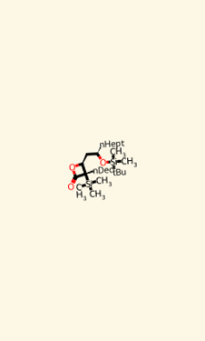 CCCCCCCCCC[C@@]1([Si](C)(C)C)C(=O)O[C@H]1C[C@H](CCCCCCC)O[Si](C)(C)C(C)(C)C